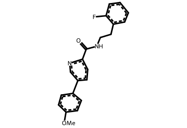 COc1ccc(-c2ccc(C(=O)NCCc3ccccc3F)nc2)cc1